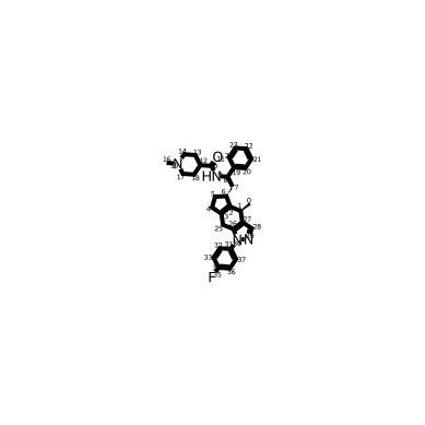 C[C@@H]1C2=C(CC[C@@H]2CC(NC(=O)C2CCN(C)CC2)c2ccccc2)Cc2c1cnn2-c1ccc(F)cc1